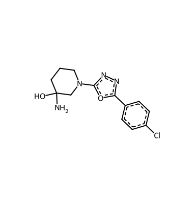 NC1(O)CCCN(c2nnc(-c3ccc(Cl)cc3)o2)C1